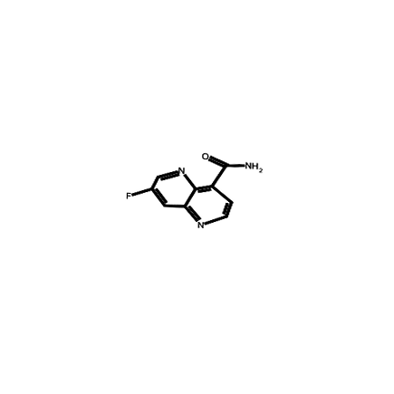 NC(=O)c1ccnc2cc(F)cnc12